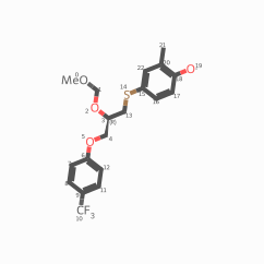 COCO[C@H](COc1ccc(C(F)(F)F)cc1)CSc1ccc([O])c(C)c1